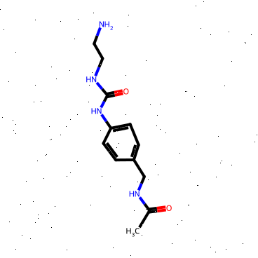 CC(=O)NCc1ccc(NC(=O)NCCN)cc1